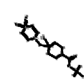 CC(C)(C)OC(=O)N1CCC(O)(CN2C=CS(=O)(=O)C=C2)CC1